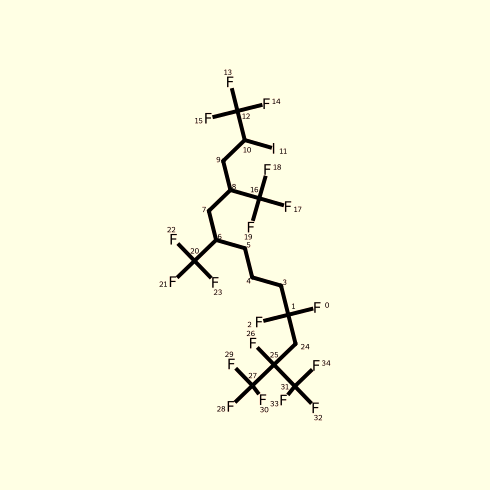 FC(F)(CCCC(CC(CC(I)C(F)(F)F)C(F)(F)F)C(F)(F)F)CC(F)(C(F)(F)F)C(F)(F)F